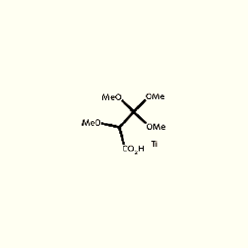 COC(C(=O)O)C(OC)(OC)OC.[Ti]